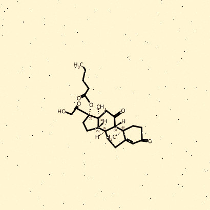 CCCCC(=O)O[C@@]1(C(=O)CO)CC[C@H]2[C@@H]3CCC4=CC(=O)CC[C@]4(C)[C@H]3C(=O)C[C@@]21C